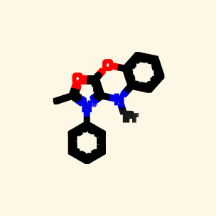 Cc1oc2c([n+]1-c1ccccc1)N(C(C)C)c1ccccc1O2